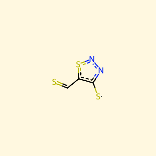 [S]c1nnsc1C=S